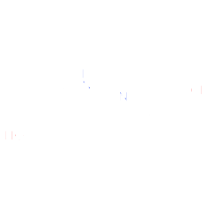 Oc1cccc(NCN2CC(O)C2)c1